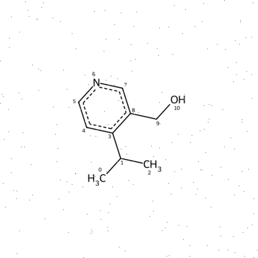 CC(C)c1ccncc1CO